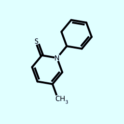 Cc1ccc(=S)n(C2C=CC=CC2)c1